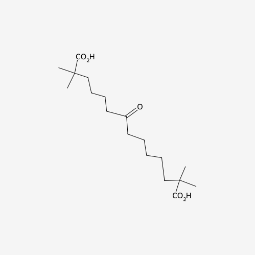 CC(C)(CCCCCC(=O)CCCCC(C)(C)C(=O)O)C(=O)O